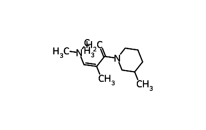 C=C(/C(C)=C\N(C)C)N1CCCC(C)C1